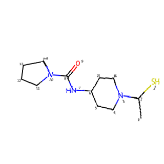 CC(S)N1CCC(NC(=O)N2CCCC2)CC1